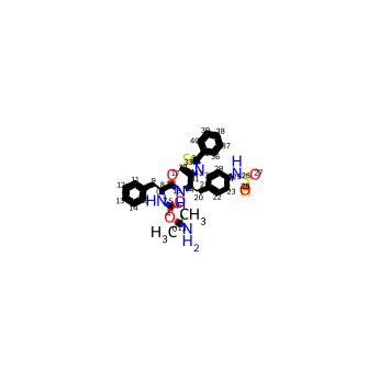 CC(C)(N)OC(=O)N[C@@H](Cc1ccccc1)C(=O)N[C@@H](CC1=CCC(N[SH](=O)=O)C=C1)c1csc(-c2ccccc2)n1